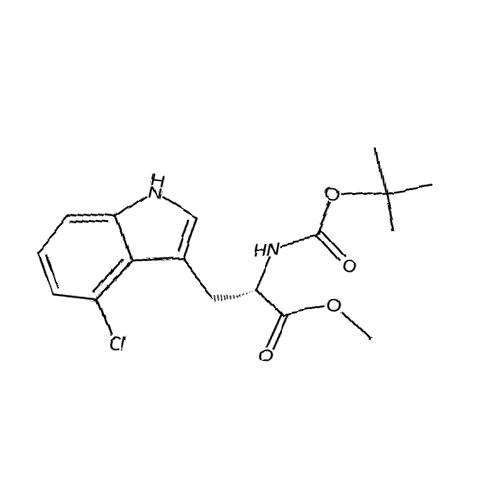 COC(=O)[C@H](Cc1c[nH]c2cccc(Cl)c12)NC(=O)OC(C)(C)C